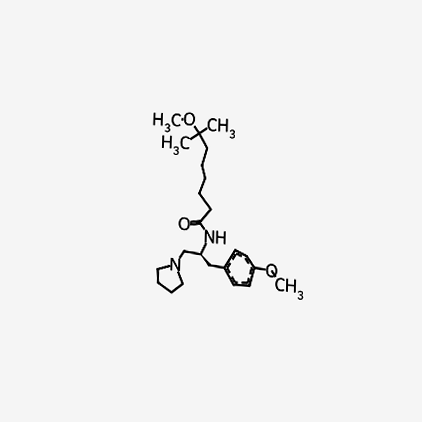 COc1ccc(C[C@@H](CN2CCCC2)NC(=O)CCCCCC(C)(C)OC)cc1